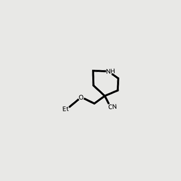 CCOCC1(C#N)CCNCC1